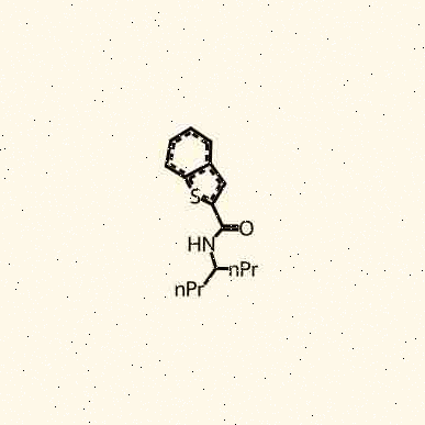 CCCC(CCC)NC(=O)c1cc2ccccc2s1